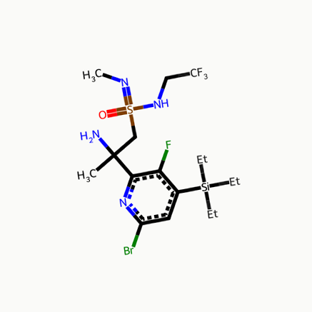 CC[Si](CC)(CC)c1cc(Br)nc(C(C)(N)CS(=O)(=NC)NCC(F)(F)F)c1F